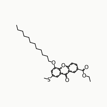 CCCCCCCCCCCCOc1cc(SC)cc2c(=O)c3cc(C(=O)OCC)ccc3oc12